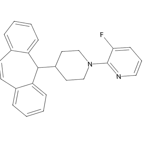 Fc1cccnc1N1CCC(C2c3ccccc3C=Cc3ccccc32)CC1